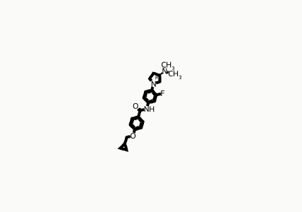 CN(C)[C@@H]1CCN(c2ccc(NC(=O)c3ccc(OCC4CC4)cc3)cc2F)C1